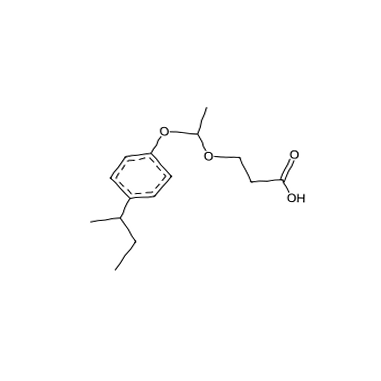 CCC(C)c1ccc(OC(C)OCCC(=O)O)cc1